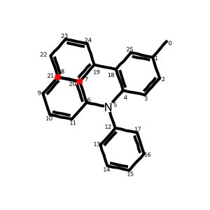 Cc1ccc(N(c2ccccc2)c2ccccc2)c(-c2ccccc2)c1